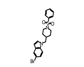 O=S(=O)(c1ccccc1)N1CCC(Cn2ccc3cc(Br)ccc32)CC1